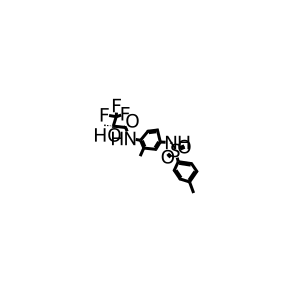 Cc1ccc(S(=O)(=O)Nc2ccc(NC(=O)[C@@](C)(O)C(F)(F)F)c(C)c2)cc1